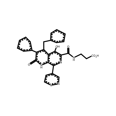 O=C(O)CCNC(=O)c1nc(-c2ccnnc2)c2[nH]c(=O)c(-c3ccccc3)c(Cc3ccccc3)c2c1O